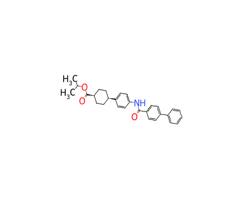 CC(C)OC(=O)[C@H]1CC[C@@H](c2ccc(NC(=O)c3ccc(-c4ccccc4)cc3)cc2)CC1